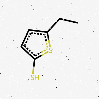 CCc1ccc(S)s1